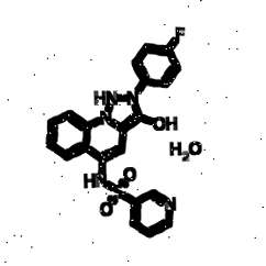 O.O=S(=O)(NC1=CC2=C(O)N(c3ccc(F)cc3)NN2c2ccccc21)c1cccnc1